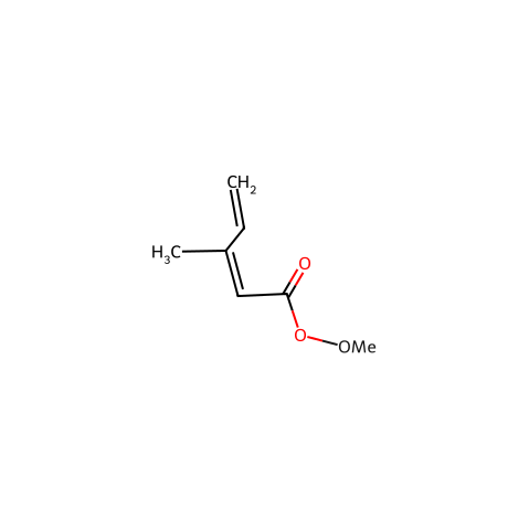 C=CC(C)=CC(=O)OOC